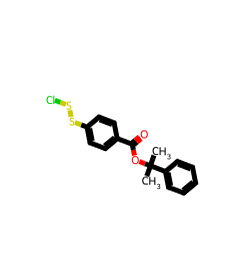 CC(C)(OC(=O)c1ccc(SSCl)cc1)c1ccccc1